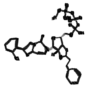 CCCOP(=O)(O)OP(=O)(O)OP(=O)(O)OC[C@H]1O[C@@H](n2ccc3nc(-c4ccccc4Cl)cn3c2=O)[C@H]2OC(CCc3ccccc3)OC12